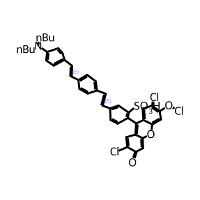 CCCCN(CCCC)c1ccc(/C=C/c2ccc(/C=C/c3ccc(-c4c5cc(Cl)c(=O)cc-5oc5cc(OCl)c(Cl)cc45)c(S(=O)(=O)O)c3)cc2)cc1